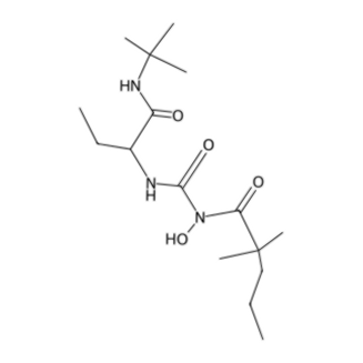 CCCC(C)(C)C(=O)N(O)C(=O)NC(CC)C(=O)NC(C)(C)C